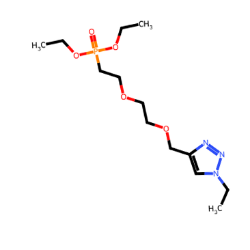 CCOP(=O)(CCOCCOCc1cn(CC)nn1)OCC